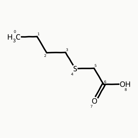 CCCCSCC(=O)O